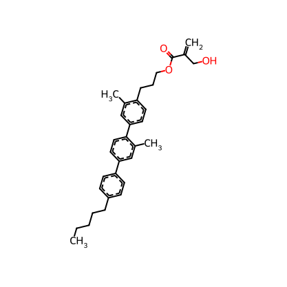 C=C(CO)C(=O)OCCCc1ccc(-c2ccc(-c3ccc(CCCCC)cc3)cc2C)cc1C